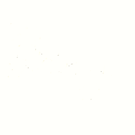 CNc1ccccc1OCCN1CCC(C(=O)NC(c2cccc(OC)c2)c2ccccn2)CC1